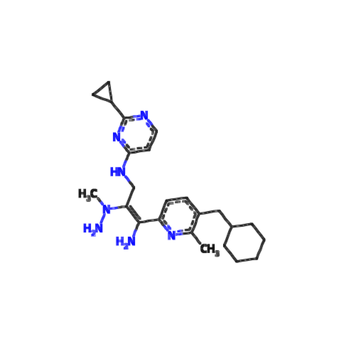 Cc1nc(/C(N)=C(\CNc2ccnc(C3CC3)n2)N(C)N)ccc1CC1CCCCC1